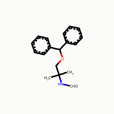 CC(C)(COC(c1ccccc1)c1ccccc1)NC=O